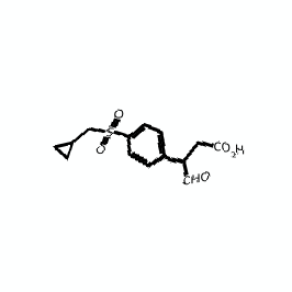 O=CC(CC(=O)O)c1ccc(S(=O)(=O)CC2CC2)cc1